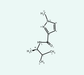 CC(C)[C@@H](C)NC(=O)c1ccn(C)n1